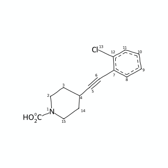 O=C(O)N1CCC(C#Cc2ccccc2Cl)CC1